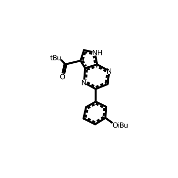 CC(C)COc1cccc(-c2cnc3[nH]cc(C(=O)C(C)(C)C)c3n2)c1